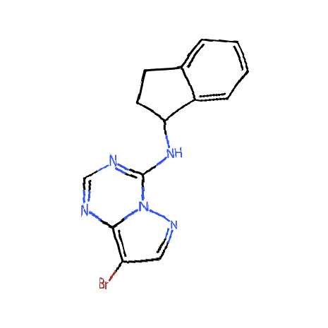 Brc1cnn2c(NC3CCc4ccccc43)ncnc12